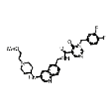 COCCN1CCC(Nc2cnc3ccc(CNC(=O)c4cncn(Cc5ccc(F)c(F)c5)c4=O)cc3c2)CC1